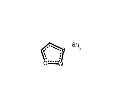 B.b1ccon1